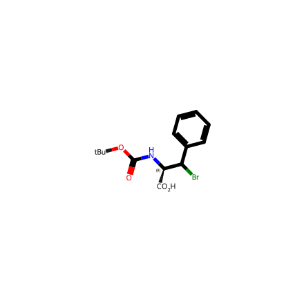 CC(C)(C)OC(=O)N[C@H](C(=O)O)C(Br)c1ccccc1